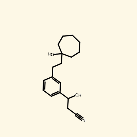 N#CCC(O)c1cccc(CCC2(O)CCCCCC2)c1